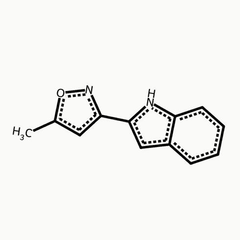 Cc1cc(-c2cc3ccccc3[nH]2)no1